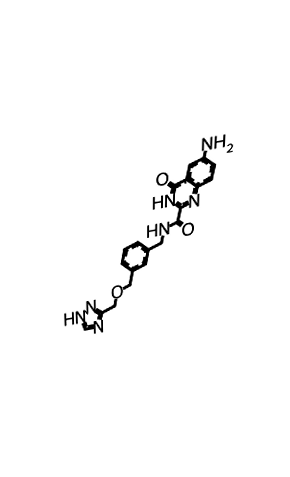 Nc1ccc2nc(C(=O)NCc3cccc(COCc4nc[nH]n4)c3)[nH]c(=O)c2c1